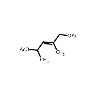 CC(=O)OC/C(C)=C/C(C)OC(C)=O